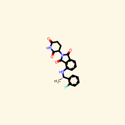 C[C@H](Nc1cccc2c1C(=O)N(C1CCC(=O)NC1=O)C2=O)c1ccccc1F